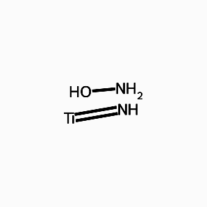 NO.[NH]=[Ti]